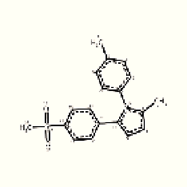 Cc1ccc(-n2c(C)ccc2-c2ccc(S(C)(=O)=O)cc2)cc1